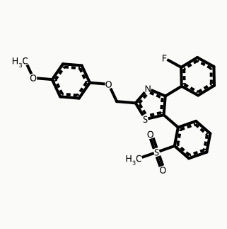 COc1ccc(OCc2nc(-c3ccccc3F)c(-c3ccccc3S(C)(=O)=O)s2)cc1